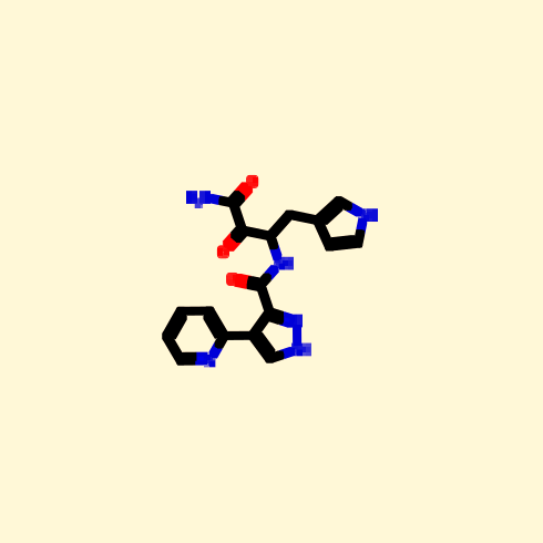 NC(=O)C(=O)C(Cc1cc[nH]c1)NC(=O)c1n[nH]cc1-c1ccccn1